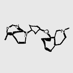 Cc1ncnc2c1ccn2C1CCC(Oc2cccc3c2CN(C)CC3)C1